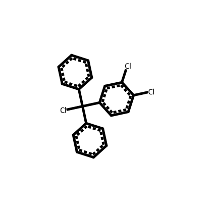 Clc1ccc(C(Cl)(c2ccccc2)c2ccccc2)cc1Cl